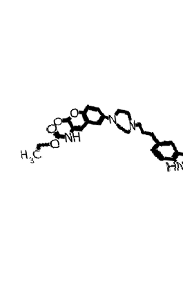 CCOC(=O)Nc1cc2cc(N3CCN(CCCc4ccc5[nH]cc(C#N)c5c4)CC3)ccc2oc1=O